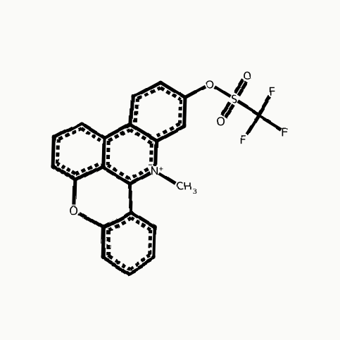 C[n+]1c2c3c(cccc3c3ccc(OS(=O)(=O)C(F)(F)F)cc31)Oc1ccccc1-2